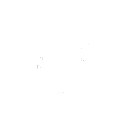 Cc1cc(=O)n(Cc2ccccn2)cc1-c1cc(C(F)(F)F)cc2[nH]ncc12